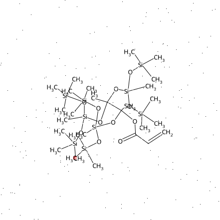 C=CC(=O)OC([SiH3])(O[Si](C)(O[Si](C)(C)C)O[Si](C)(C)C)C(C)(O[Si](C)(O[Si](C)(C)C)O[Si](C)(C)C)O[Si](C)(O[Si](C)(C)C)O[Si](C)(C)C